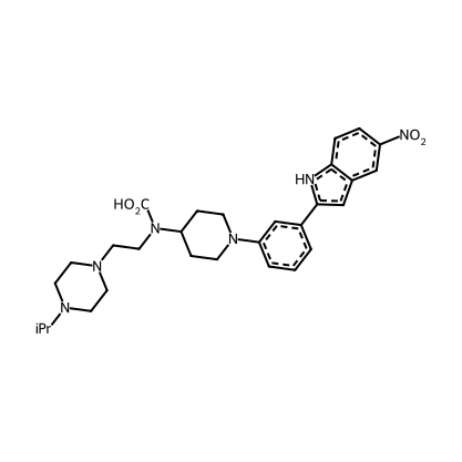 CC(C)N1CCN(CCN(C(=O)O)C2CCN(c3cccc(-c4cc5cc([N+](=O)[O-])ccc5[nH]4)c3)CC2)CC1